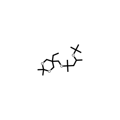 CCC1(COC(C)(C)CC(C)OC(C)(C)C)COC(C)(C)OC1